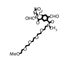 COCCOCCOCCOCCOCCN(C)C(=O)c1cc(C(=O)N(C=O)CO[N+](=O)[O-])c(C)cc1C=O